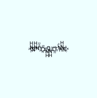 C/C(=N\NC1=CCCN1)c1ccc(NC(=O)Nc2ccc(/C(C)=N/NC3=NCCN3)cc2)cc1